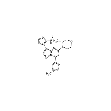 C[C@@H]1COCCN1c1cc(-c2cnn(C)c2)n2ncc(-c3ccnn3PI)c2n1